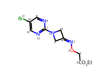 CCOC(=O)CON=C1CN(c2ncc(Br)cn2)C1